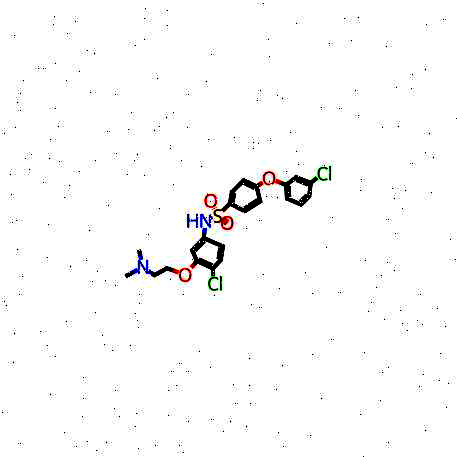 CN(C)CCOc1cc(NS(=O)(=O)c2ccc(Oc3cccc(Cl)c3)cc2)ccc1Cl